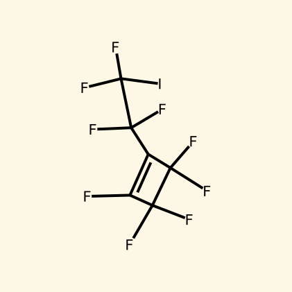 FC1=C(C(F)(F)C(F)(F)I)C(F)(F)C1(F)F